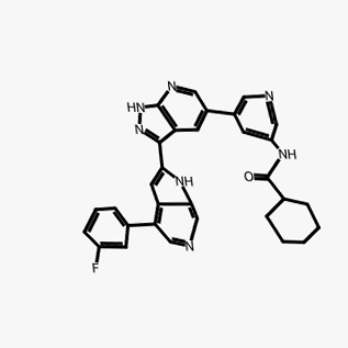 O=C(Nc1cncc(-c2cnc3[nH]nc(-c4cc5c(-c6cccc(F)c6)cncc5[nH]4)c3c2)c1)C1CCCCC1